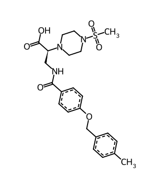 Cc1ccc(COc2ccc(C(=O)NC[C@@H](C(=O)O)N3CCN(S(C)(=O)=O)CC3)cc2)cc1